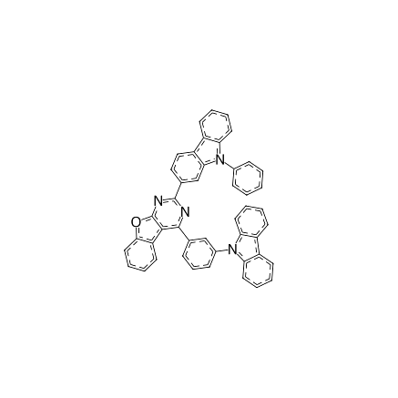 c1ccc(-n2c3ccccc3c3ccc(-c4nc(-c5cccc(-n6c7ccccc7c7ccccc76)c5)c5c(n4)oc4ccccc45)cc32)cc1